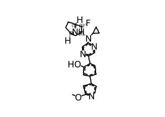 COc1cc(-c2ccc(-c3cnc(N(C4CC4)[C@@H]4C[C@H]5CC[C@H](N5)[C@@H]4F)cn3)c(O)c2)ccn1